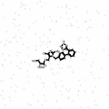 CCCCc1nc(Cl)c(COC(=O)[C@H](CO)NC)n1Cc1ccc(-c2ccccc2-c2nn[nH]n2)cc1